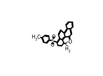 Cc1ccc(S(=O)(=O)C2=c3ccc4c(c3C(C)CC2)C(=O)C=c2ccccc2=4)cc1